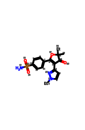 CCn1ccc(C2=C(c3ccc(S(N)(=O)=O)cc3)OC(C)(CC)C2=O)n1